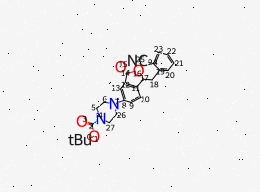 CC(C)(C)OC(=O)N1CCN(c2ccc3c(c2)C(=O)OC3Cc2ccccc2C#N)CC1